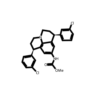 COC(=O)Nc1cc2c3c(c1)[C@H](c1cccc(Cl)c1)CCN3CC[C@@H]2c1cccc(Cl)c1